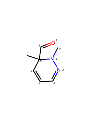 CN1N=CC=CC1(C)C=O